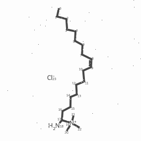 CCCCCCCC/C=C\CCCCCCCC(N)[N+](C)(C)C.[Cl-]